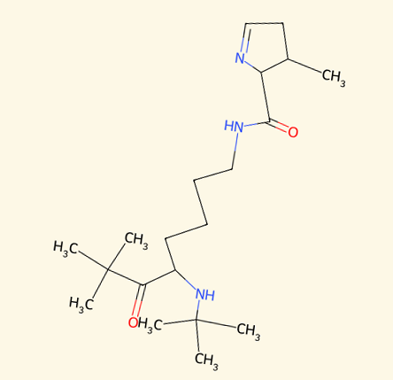 CC1CC=NC1C(=O)NCCCCC(NC(C)(C)C)C(=O)C(C)(C)C